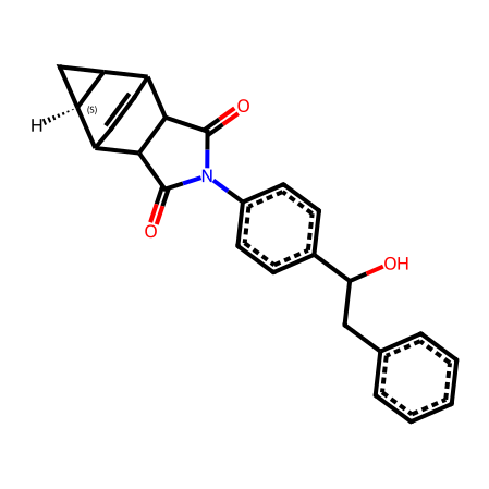 O=C1C2C3C=CC(C2C(=O)N1c1ccc(C(O)Cc2ccccc2)cc1)[C@H]1CC31